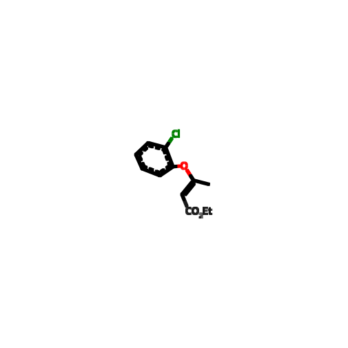 CCOC(=O)C=C(C)Oc1ccccc1Cl